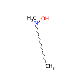 CCCCCCCCCCCCCCCCN(CC)CCO